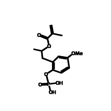 C=C(C)C(=O)OC(C)Cc1cc(OC)ccc1OP(=O)(O)O